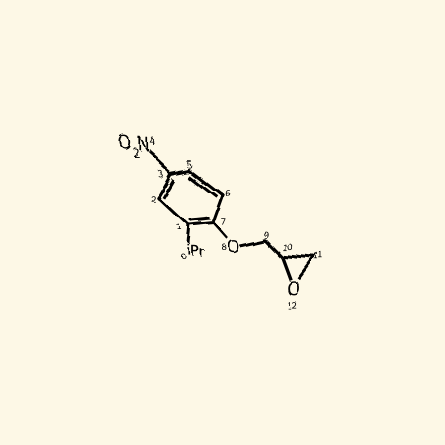 CC(C)c1cc([N+](=O)[O-])ccc1OCC1CO1